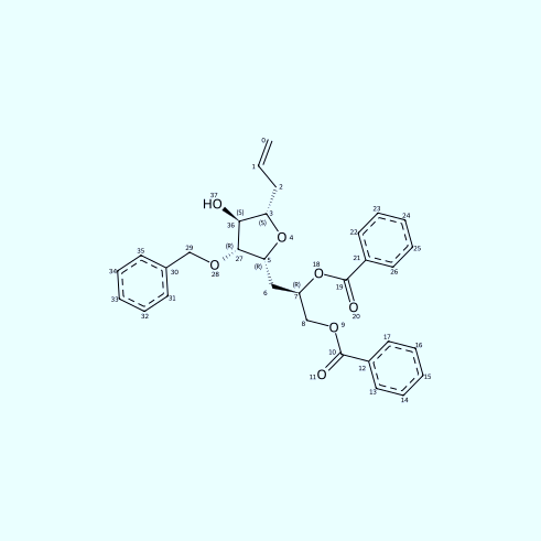 C=CC[C@@H]1O[C@H](C[C@H](COC(=O)c2ccccc2)OC(=O)c2ccccc2)[C@H](OCc2ccccc2)[C@H]1O